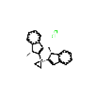 C[C@@H]1[C]([Zr+2]2([C]3=Cc4ccccc4[C@H]3C)[CH2][CH2]2)=Cc2ccccc21.[Cl-].[Cl-]